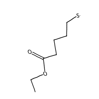 CCOC(=O)CCCC[S]